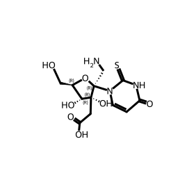 NC[C@@]1(n2ccc(=O)[nH]c2=S)O[C@H](CO)[C@@H](O)[C@]1(O)CC(=O)O